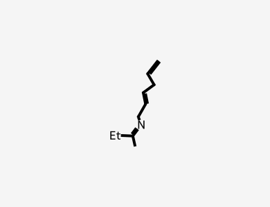 C=CCC=CC/N=C(/C)CC